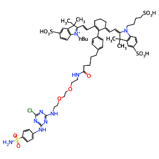 CCCC[N+]1=C(/C=C/C2=C(c3ccc(CCCCC(=O)NCCOCCOCCNc4nc(Cl)nc(Nc5ccc(S(N)(=O)=O)cc5)n4)cc3)C(=C/C=C3/N(CCCCS(=O)(=O)O)c4ccc(S(=O)(=O)O)cc4C3(C)C)/CCC2)C(C)(C)c2cc(S(=O)(=O)O)ccc21